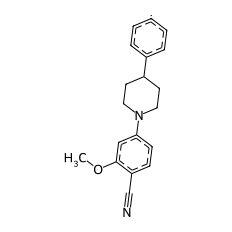 COc1cc(N2CCC(c3cc[c]cc3)CC2)ccc1C#N